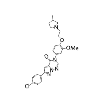 COc1cc(-n2cnn3nc(-c4ccc(Cl)cc4)cc3c2=O)ccc1OCCN1CCC(C)C1